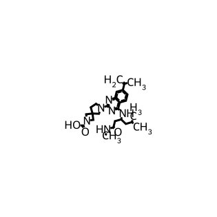 C=C(C)c1ccc2c(NC(CC(=O)NC)CC(C)C)nc(N3CCC4(CN(C(=O)O)C4)C3)nc2c1